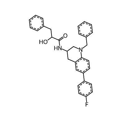 O=C(NC1Cc2cc(-c3ccc(F)cc3)ccc2N(Cc2ccccc2)C1)C(O)Cc1ccccc1